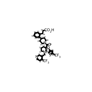 CCC[C@H]1N(Cc2cnccc2C(F)(F)F)CCC[C@@]1(Oc1csc(C(F)(F)F)c1)C(=O)N1CCC(c2ccccc2CCC(=O)O)CC1